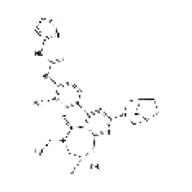 CCN1CC(C)(C)Oc2nc(N3CC4CCC(C3)O4)nc(-c3ccc(NC(=O)Nc4ccon4)c(C)c3)c2C1=O